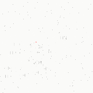 CC(C)(C)c1cc(C(C)(C)C)c2c(c1)C(C)(C)c1cccc(-c3ccccc3N(c3cccc(Nc4ccccc4-c4ccccc4)c3)c3cccc4sc5ccccc5c34)c1-2